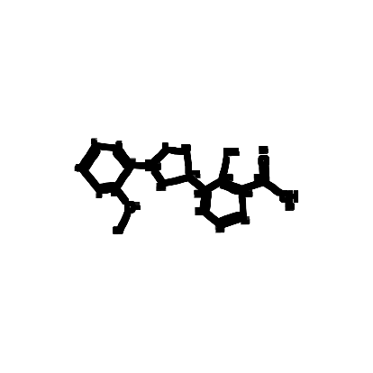 COc1ccccc1N1CCC(c2cccc(C(=O)O)c2F)C1